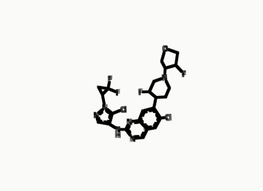 FC1CN(C2COCC2F)CCC1c1cc2nc(Nc3cnn(C4CC4(F)F)c3Cl)ncc2cc1Cl